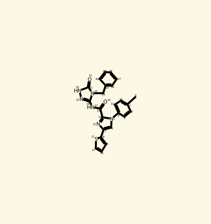 Cc1ccc(-n2cc(-c3cccs3)nc2C(=O)Nc2n[nH]c(=O)n2Cc2ccccc2)cc1